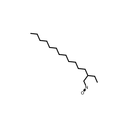 CCCCCCCCCCCCC(CC)CN=O